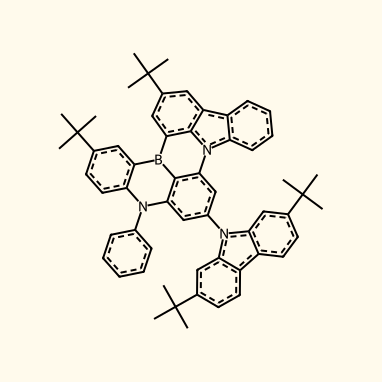 CC(C)(C)c1ccc2c(c1)B1c3c(cc(-n4c5cc(C(C)(C)C)ccc5c5ccc(C(C)(C)C)cc54)cc3-n3c4ccccc4c4cc(C(C)(C)C)cc1c43)N2c1ccccc1